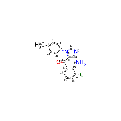 Cc1ccc(-n2cnc(N)c2C(=O)c2cccc(Cl)c2)cc1